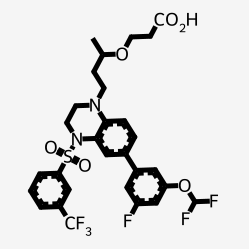 CC(CCN1CCN(S(=O)(=O)c2cccc(C(F)(F)F)c2)c2cc(-c3cc(F)cc(OC(F)F)c3)ccc21)OCCC(=O)O